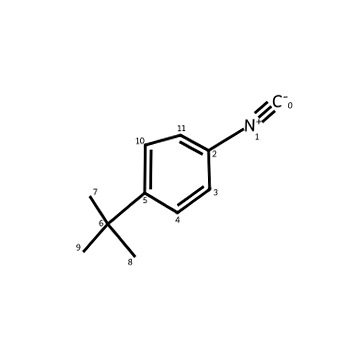 [C-]#[N+]c1ccc(C(C)(C)C)cc1